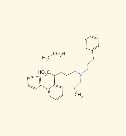 C=CCN(CCCc1ccccc1)CCCC(C(=O)O)c1ccccc1-c1ccccc1.CC(=O)O